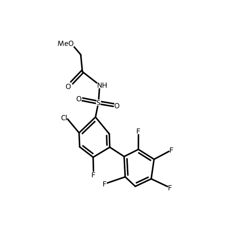 COCC(=O)NS(=O)(=O)c1cc(-c2c(F)cc(F)c(F)c2F)c(F)cc1Cl